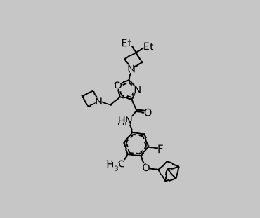 CCC1(CC)CN(c2nc(C(=O)Nc3cc(C)c(OC4CC5C6C4C56)c(F)c3)c(CN3CCC3)o2)C1